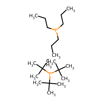 CC(C)(C)P(C(C)(C)C)C(C)(C)C.CCCP(CCC)CCC